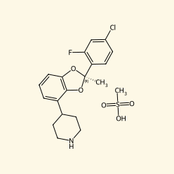 CS(=O)(=O)O.C[C@@]1(c2ccc(Cl)cc2F)Oc2cccc(C3CCNCC3)c2O1